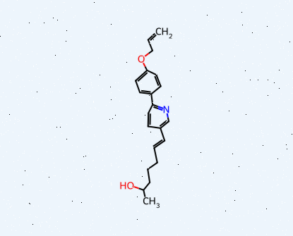 C=CCOc1ccc(-c2ccc(C=CCCCC(C)O)cn2)cc1